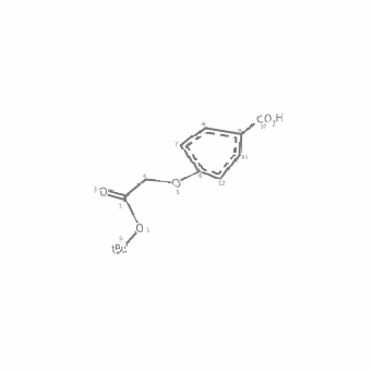 CC(C)(C)OC(=O)COc1ccc(C(=O)O)cc1